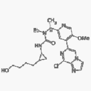 CCN(C(=O)NC1CC1CCCCO)[C@H](C)c1cc(-c2cn3ccnc3c(Cl)n2)c(OC)cn1